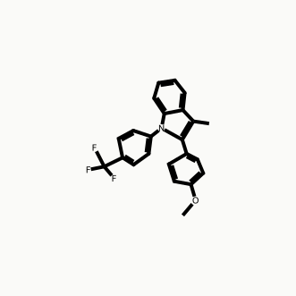 COc1ccc(-c2c(C)c3ccccc3n2-c2ccc(C(F)(F)F)cc2)cc1